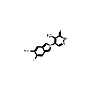 COc1cc2cn(-c3cn[nH]c(=O)c3C(F)(F)F)cc2cc1F